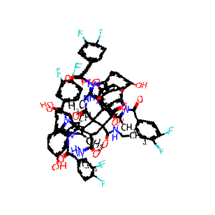 CCNC(=O)C(c1c(C)n(C(=O)c2ccc(F)c(F)c2)c2ccc(O)cc12)(C(C(=O)NC)c1c(C)n(C(=O)c2ccc(F)c(F)c2)c2ccc(O)cc12)C(C(N)=O)(c1c(C)n(C(=O)c2ccc(F)c(F)c2)c2ccc(O)cc12)C(C(=O)O)c1c(C)n(C(=O)c2ccc(F)c(F)c2)c2ccc(O)cc12